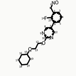 O=NCc1cccc(-c2cnc(OCCOC3CCCCC3)nc2)c1F